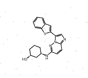 O[C@H]1CCC[C@@H](Nc2ccc3ncc(-c4cc5ccccc5s4)n3n2)C1